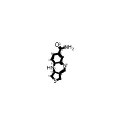 NC(=O)C1=CC2=NC=C3CSCC3NC2C=C1